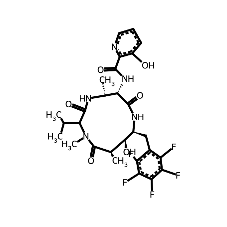 CC(C)C1C(=O)N[C@H](C)[C@H](NC(=O)c2ncccc2O)C(=O)N[C@@H](Cc2c(F)c(F)c(F)c(F)c2F)[C@@H](O)[C@@H](C)C(=O)N1C